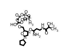 COP(=O)(O)OP(=O)(O)OP(=O)(O)OCC1O[C@@H](C2CCCC2)C[C@H]1OC(N)CCNC(=O)C(C)C